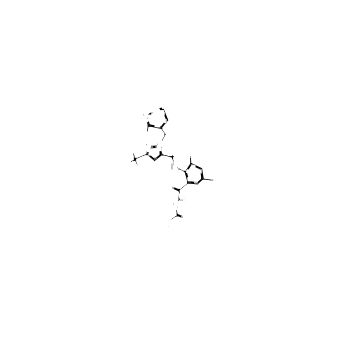 COC(=O)NNC(=O)c1cc(Cl)cc(C)c1NC(=O)c1cc(C(F)(F)F)nn1Cc1cccnc1F